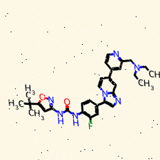 CCN(CC)Cc1cc(-c2ccn3c(-c4ccc(NC(=O)Nc5cc(C(C)(C)C)on5)c(F)c4)cnc3c2)ccn1